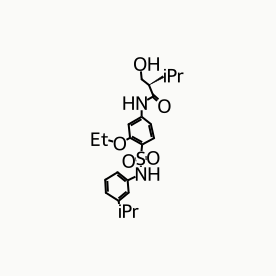 CCOc1cc(NC(=O)[C@@H](CO)C(C)C)ccc1S(=O)(=O)Nc1cccc(C(C)C)c1